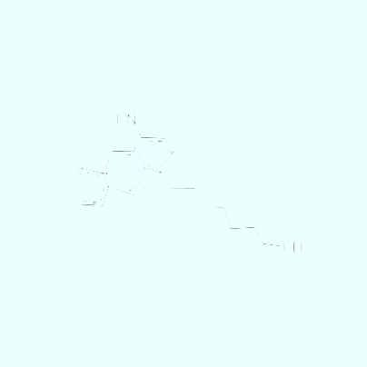 CCCCCCCCc1ccc(N)c2cc3ccccc3cc12